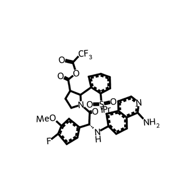 COc1cc([C@@H](Nc2ccc3c(N)nccc3c2)C(=O)N2CCC(C(=O)OC(=O)C(F)(F)F)C2c2ccccc2S(=O)(=O)C(C)C)ccc1F